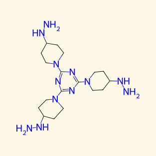 NNC1CCN(c2nc(N3CCC(NN)CC3)nc(N3CCC(NN)CC3)n2)CC1